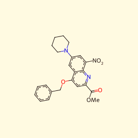 COC(=O)c1cc(OCc2ccccc2)c2cc(N3CCCCC3)cc([N+](=O)[O-])c2n1